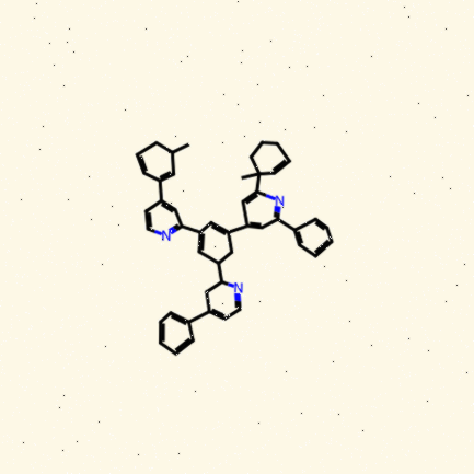 CC1C=C(c2ccnc(C3=CC(C4CC(c5ccccc5)=CC=N4)CC(c4cc(-c5ccccc5)nc(C5(C)C=CCCC5)c4)=C3)c2)C=CC1